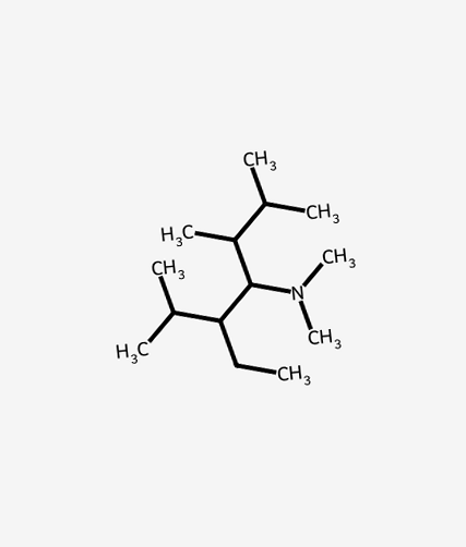 CCC(C(C)C)C(C(C)C(C)C)N(C)C